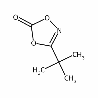 CC(C)(C)c1noc(=O)o1